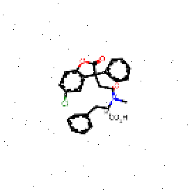 CN(C(=O)CC1(c2ccccc2)C(=O)Oc2ccc(Cl)cc21)[C@@H](Cc1ccccc1)C(=O)O